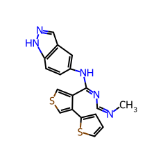 C/N=C\N=C(\Nc1ccc2[nH]ncc2c1)c1cscc1-c1cccs1